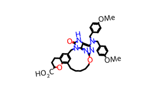 COc1ccc(CN(Cc2ccc(OC)cc2)c2nc3nc4c2[nH]c(=O)n4Cc2cc(c4c(c2)CCC(C(=O)O)O4)CCCCCO3)cc1